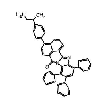 CCC(C)c1ccc(-c2ccc3c(=O)n4c(nc5c(-c6ccccc6)cc(-c6ccccc6)c(-c6ccccc6)c54)c4cccc2c34)cc1